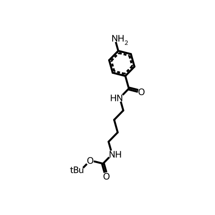 CC(C)(C)OC(=O)NCCCCNC(=O)c1ccc(N)cc1